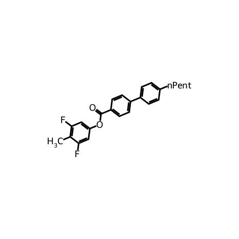 CCCCCc1ccc(-c2ccc(C(=O)Oc3cc(F)c(C)c(F)c3)cc2)cc1